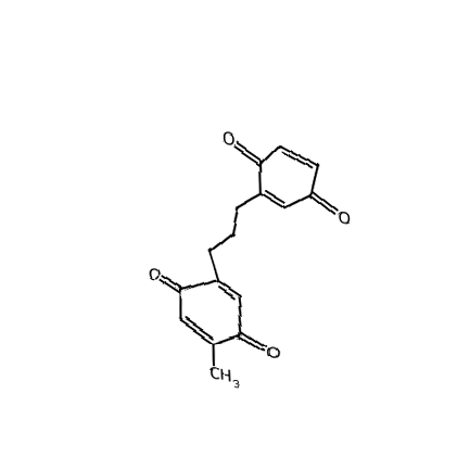 CC1=CC(=O)C(CCCC2=CC(=O)C=CC2=O)=CC1=O